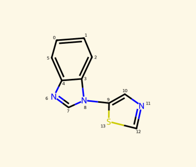 c1ccc2c(c1)ncn2-c1cncs1